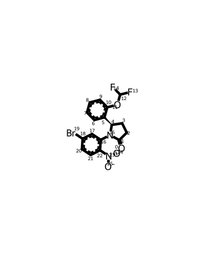 O=C1CC[C@H](c2ccccc2OC(F)F)N1c1cc(Br)ccc1[N+](=O)[O-]